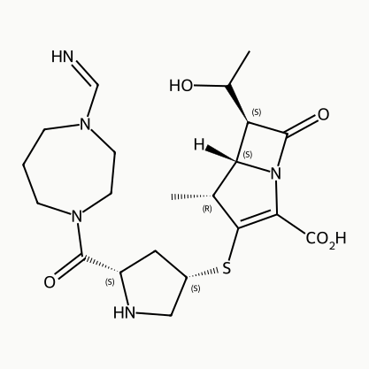 CC(O)[C@H]1C(=O)N2C(C(=O)O)=C(S[C@@H]3CN[C@H](C(=O)N4CCCN(C=N)CC4)C3)[C@H](C)[C@H]12